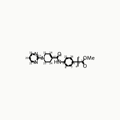 COC(=O)C(C)(C)c1ccc(NC(=O)C2=CCN(c3ncccn3)CC2)cc1